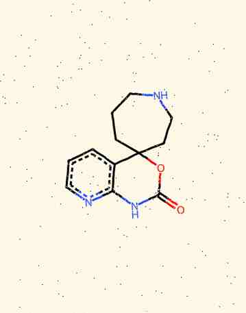 O=C1Nc2ncccc2C2(CCCNCC2)O1